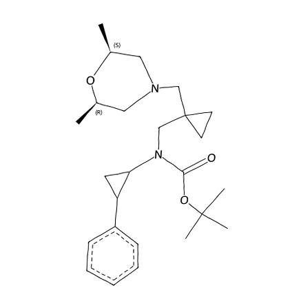 C[C@@H]1CN(CC2(CN(C(=O)OC(C)(C)C)C3CC3c3ccccc3)CC2)C[C@H](C)O1